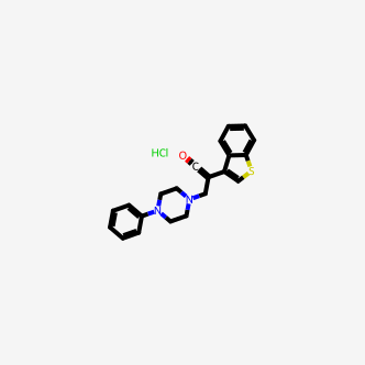 Cl.O=C=C(CN1CCN(c2ccccc2)CC1)c1csc2ccccc12